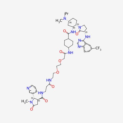 CC(C)N(C)[C@@H]1CC[C@H](N2CC[C@H](Nc3ncnc4ccc(C(F)(F)F)cc34)C2=O)[C@H](NC(=O)C2CCC(NC(=O)COCCOCCNC(=O)CCNC(=O)[C@H]3CC(=O)N(C)[C@@H]3c3cccnc3)CC2)C1